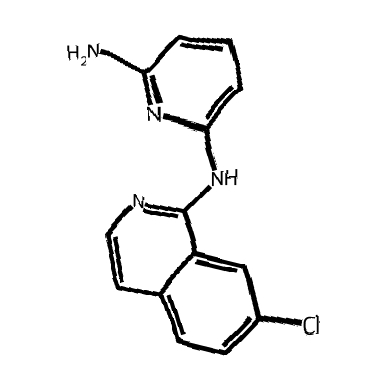 Nc1cccc(Nc2nccc3ccc(Cl)cc23)n1